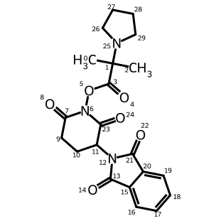 CC(C)(C(=O)ON1C(=O)CCC(N2C(=O)c3ccccc3C2=O)C1=O)N1CCCC1